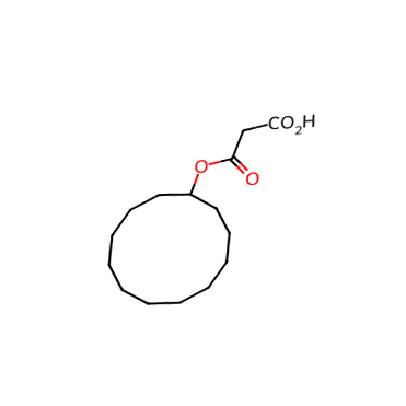 O=C(O)CC(=O)OC1CCCCCCCCCCC1